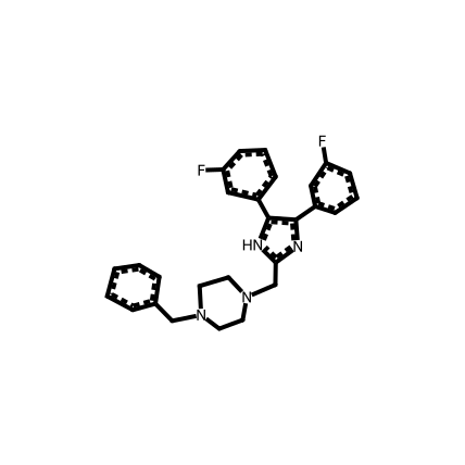 Fc1cccc(-c2nc(CN3CCN(Cc4ccccc4)CC3)[nH]c2-c2cccc(F)c2)c1